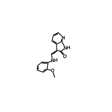 COc1ccccc1NC=C1C(=O)Nc2ncccc21